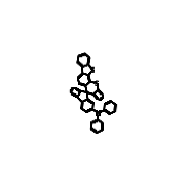 c1ccc(N(c2ccccc2)c2ccc3c(c2)C2(c4ccccc4Sc4c2ccc2c4sc4ccccc42)c2ccccc2-3)cc1